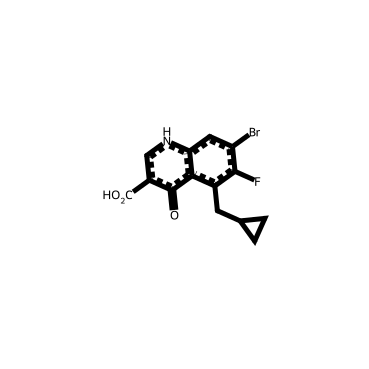 O=C(O)c1c[nH]c2cc(Br)c(F)c(CC3CC3)c2c1=O